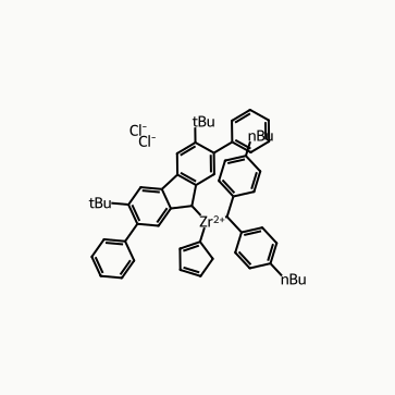 CCCCc1ccc([C](c2ccc(CCCC)cc2)=[Zr+2]([C]2=CC=CC2)[CH]2c3cc(-c4ccccc4)c(C(C)(C)C)cc3-c3cc(C(C)(C)C)c(-c4ccccc4)cc32)cc1.[Cl-].[Cl-]